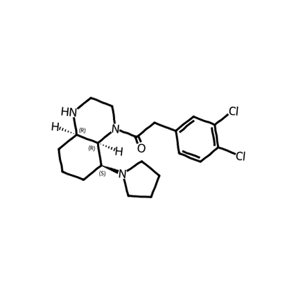 O=C(Cc1ccc(Cl)c(Cl)c1)N1CCN[C@@H]2CCC[C@H](N3CCCC3)[C@@H]21